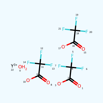 O.O=C([O-])C(F)(F)F.O=C([O-])C(F)(F)F.O=C([O-])C(F)(F)F.[Y+3]